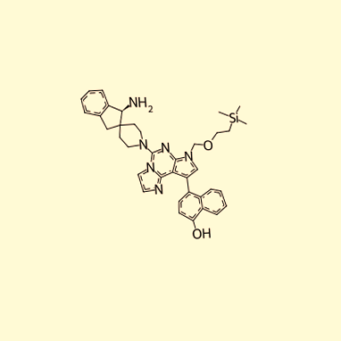 C[Si](C)(C)CCOCn1cc(-c2ccc(O)c3ccccc23)c2c1nc(N1CCC3(CC1)Cc1ccccc1[C@H]3N)n1ccnc21